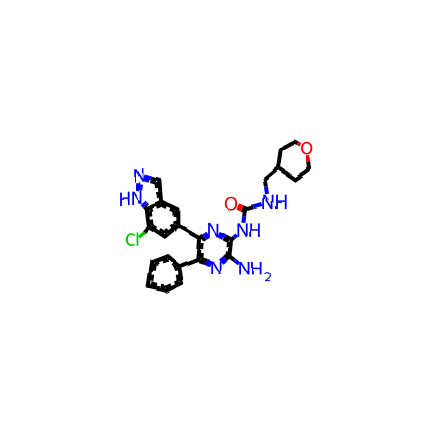 Nc1nc(-c2ccccc2)c(-c2cc(Cl)c3[nH]ncc3c2)nc1NC(=O)NCC1CCOCC1